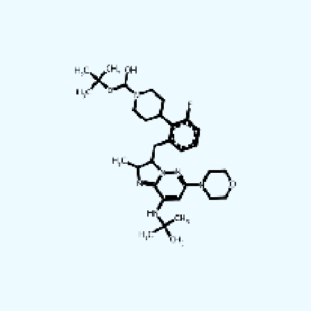 CC1N=C2C(NC(C)(C)C)=CC(N3CCOCC3)=NN2C1Cc1cccc(F)c1C1CCN([C@H](O)OC(C)(C)C)CC1